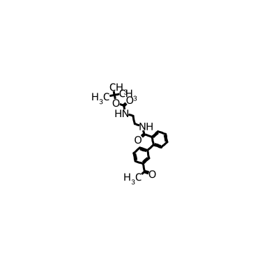 CC(=O)c1cccc(-c2ccccc2C(=O)NCCNC(=O)OC(C)(C)C)c1